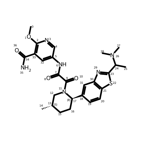 COc1ncc(NC(=O)C(=O)N2C[C@@H](C)CC[C@@H]2c2ccc3sc(C(C)N(C)C)nc3c2)cc1C(N)=O